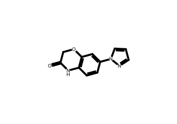 O=C1COc2cc(-n3cccn3)ccc2N1